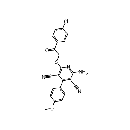 COc1ccc(-c2c(C#N)c(N)nc(SCC(=O)c3ccc(Cl)cc3)c2C#N)cc1